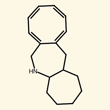 C1=C\C=C2\CC3CCCCCC3NC\C2=C\C=C/1